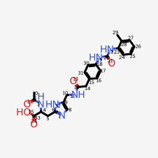 CC(=O)NC(Cc1ncc(CNC(=O)Cc2ccc(NC(=O)Nc3ccccc3C)cc2)[nH]1)C(=O)O